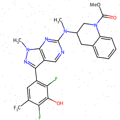 COC(=O)N1CC(N(C)c2ncc3c(-c4cc(C(F)(F)F)c(F)c(O)c4F)nn(C)c3n2)Cc2ccccc21